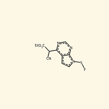 CCOC(=O)C(C#N)c1ncnc2c1ccn2SF